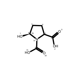 O=C(O)C1CC[C@H](O)N1C(=O)O